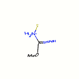 COC(=N)[NH2+][S-]